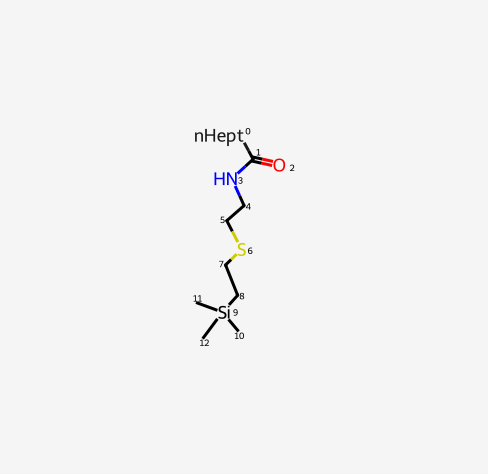 CCCCCCCC(=O)NCCSCC[Si](C)(C)C